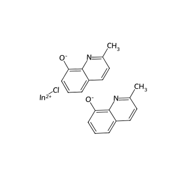 Cc1ccc2cccc([O-])c2n1.Cc1ccc2cccc([O-])c2n1.[Cl][In+2]